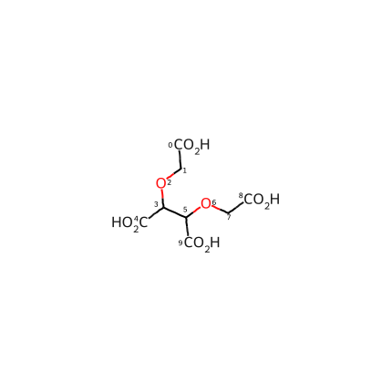 O=C(O)COC(C(=O)O)C(OCC(=O)O)C(=O)O